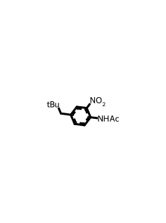 CC(=O)Nc1ccc(CC(C)(C)C)cc1[N+](=O)[O-]